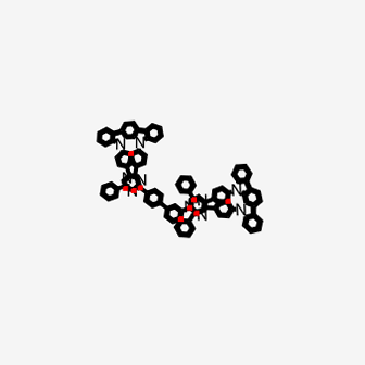 c1ccc(-c2ccc(-n3c4ccccc4c4ccc5c6ccccc6n(-c6ccc(-c7nc(-c8ccccc8)nc(-c8ccc(-c9cccc(-c%10ccc(-c%11ccc(-n%12c%13ccccc%13c%13ccc%14c%15ccccc%15n(-c%15ccc(-c%16nc(-c%17ccccc%17)nc(-c%17ccccc%17)n%16)cc%15)c%14c%13%12)cc%11)cc%10)c9)cc8)n7)cc6)c5c43)cc2)cc1